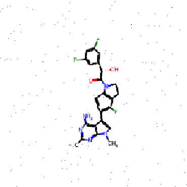 Cc1nc(N)c2c(-c3ccc4c(c3F)CCN4C(=O)[C@@H](O)c3cc(F)cc(F)c3)cn(C)c2n1